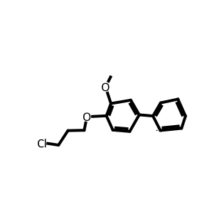 COc1cc(-c2[c]cccc2)ccc1OCCCCl